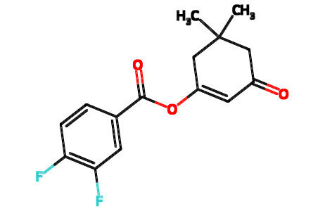 CC1(C)CC(=O)C=C(OC(=O)c2ccc(F)c(F)c2)C1